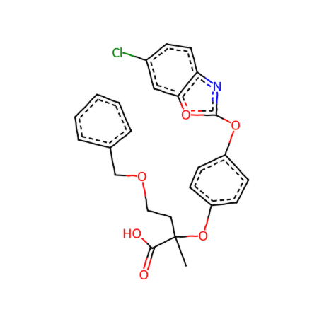 CC(CCOCc1ccccc1)(Oc1ccc(Oc2nc3ccc(Cl)cc3o2)cc1)C(=O)O